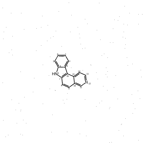 c1ccc2c(c1)[nH]c1ccc3cnccc3c12